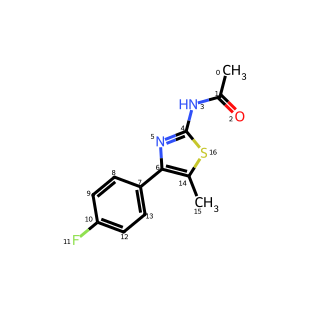 CC(=O)Nc1nc(-c2ccc(F)cc2)c(C)s1